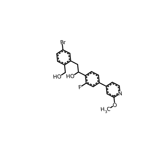 COc1cc(-c2ccc(C(O)Cc3cc(Br)ccc3CO)c(F)c2)ccn1